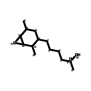 CC1CC(CCCC[SiH](C)O)C(C)C2OC12